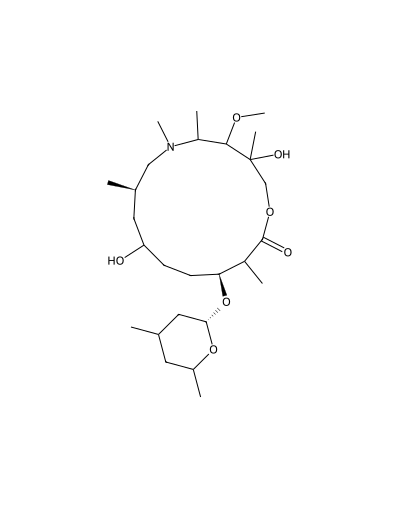 COC1C(C)N(C)C[C@H](C)CC(O)CC[C@H](O[C@H]2CC(C)CC(C)O2)C(C)C(=O)OCC1(C)O